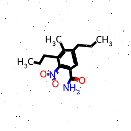 CCCc1cc(C(N)=O)c([N+](=O)[O-])c(CCC)c1C